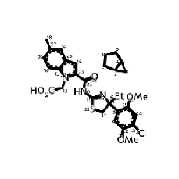 C1CC2CC2C1.CCC1(c2cc(OC)c(Cl)cc2OC)CSC(NC(=O)c2cc3cc(C)ccc3n2CC(=O)O)=N1